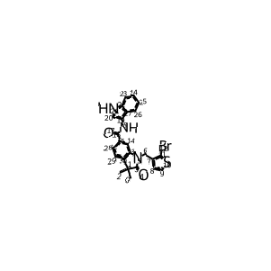 CC1(C)C(=O)N(Cc2ccsc2Br)c2cc(C(=O)Nc3c[nH]c4ccccc34)ccc21